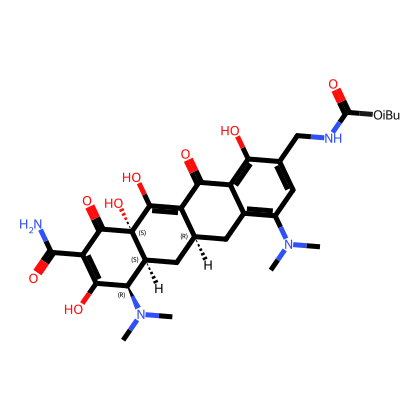 CC(C)COC(=O)NCc1cc(N(C)C)c2c(c1O)C(=O)C1=C(O)[C@]3(O)C(=O)C(C(N)=O)=C(O)[C@H](N(C)C)[C@@H]3C[C@@H]1C2